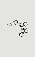 COc1cccc(-c2nc(NCc3ccccn3)c3c(-c4ccccc4)cccc3n2)c1